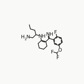 CCCC(CN)NC1=C(C(=N)c2cc(OC(F)F)ccc2F)CCCC1